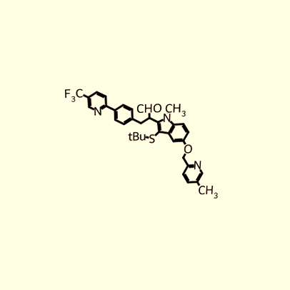 Cc1ccc(COc2ccc3c(c2)c(SC(C)(C)C)c(C(C=O)Cc2ccc(-c4ccc(C(F)(F)F)cn4)cc2)n3C)nc1